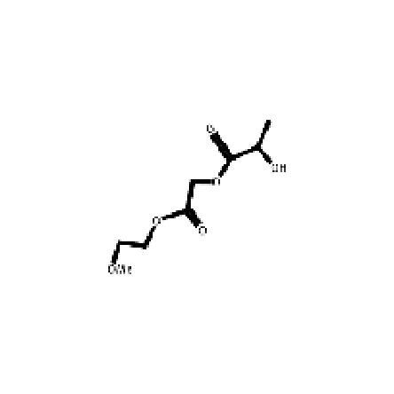 COCCOC(=O)COC(=O)C(C)O